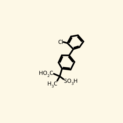 CC(C(=O)O)(c1ccc(-c2ccccc2Cl)cc1)S(=O)(=O)O